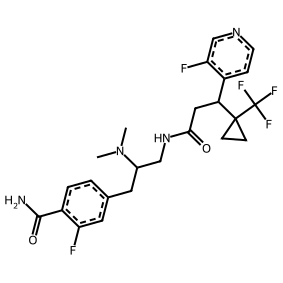 CN(C)C(CNC(=O)CC(c1ccncc1F)C1(C(F)(F)F)CC1)Cc1ccc(C(N)=O)c(F)c1